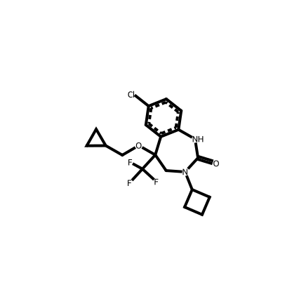 O=C1Nc2ccc(Cl)cc2C(OCC2CC2)(C(F)(F)F)CN1C1CCC1